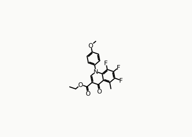 CCOC(=O)c1cn(-c2ccc(OC)cc2)c2c(F)c(F)c(F)c(C)c2c1=O